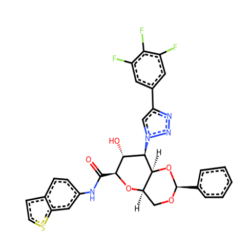 O=C(Nc1ccc2ccsc2c1)[C@@H]1O[C@@H]2CO[C@H](c3ccccc3)O[C@@H]2[C@H](n2cc(-c3cc(F)c(F)c(F)c3)nn2)[C@H]1O